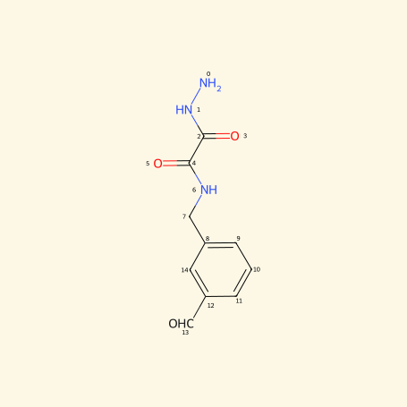 NNC(=O)C(=O)NCc1cccc(C=O)c1